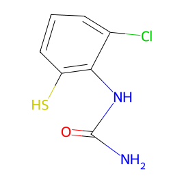 NC(=O)Nc1c(S)cccc1Cl